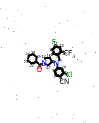 N#Cc1ccc(N(Cc2ccc(F)cc2C(F)(F)F)[C@H]2CCN(C(=O)C3CCCCC3)C2)cc1Cl